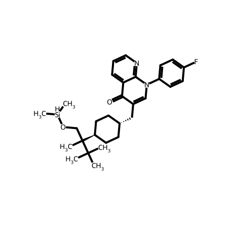 C[SiH](C)OCC(C)([C@H]1CC[C@H](Cc2cn(-c3ccc(F)cc3)c3ncccc3c2=O)CC1)C(C)(C)C